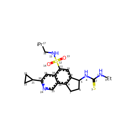 CCNC(=S)NC1CCc2c1cc(S(=O)(=O)NCC(C)C)c1cc(C3CC3)ncc21